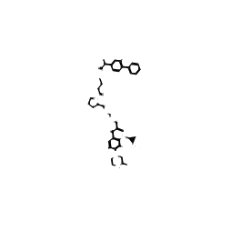 COc1c(N2CCNC(C)C2)c(F)cc2c(=O)c(C(=O)OCOC(=O)C3CCCN3C(=O)CCCOC(=O)C(C)c3ccc(-c4ccccc4)c(F)c3)cn(C3CC3)c12